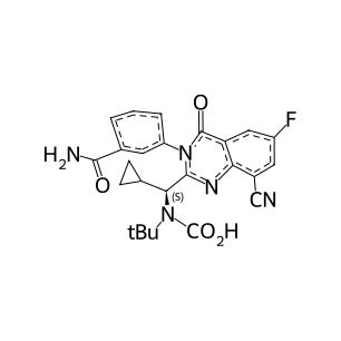 CC(C)(C)N(C(=O)O)[C@H](c1nc2c(C#N)cc(F)cc2c(=O)n1-c1cccc(C(N)=O)c1)C1CC1